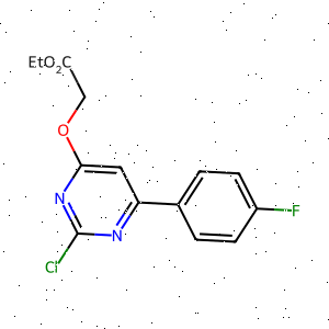 CCOC(=O)COc1cc(-c2ccc(F)cc2)nc(Cl)n1